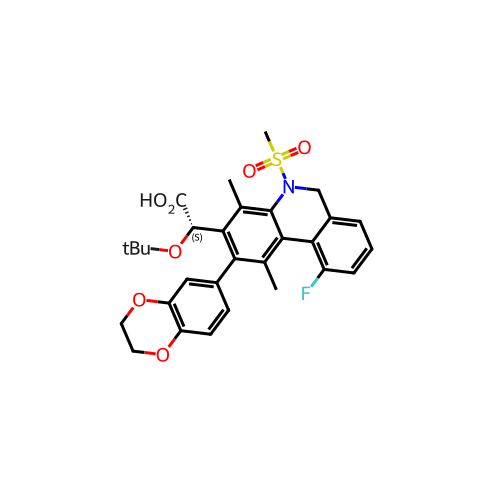 Cc1c(-c2ccc3c(c2)OCCO3)c([C@H](OC(C)(C)C)C(=O)O)c(C)c2c1-c1c(F)cccc1CN2S(C)(=O)=O